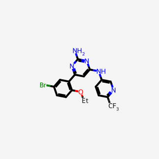 CCOc1ccc(Br)cc1-c1cc(Nc2ccc(C(F)(F)F)nc2)nc(N)n1